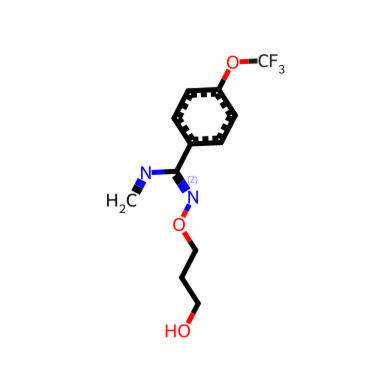 C=N/C(=N\OCCCO)c1ccc(OC(F)(F)F)cc1